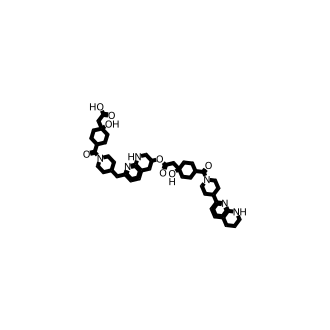 O=C(O)CC1(O)CCC(C(=O)N2CCC(Cc3ccc4c(n3)NCC(OC(=O)CC3(O)CCC(C(=O)N5CCC(c6ccc7c(n6)NCCC7)CC5)CC3)C4)CC2)CC1